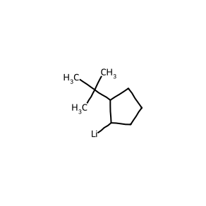 [Li][CH]1CCCC1C(C)(C)C